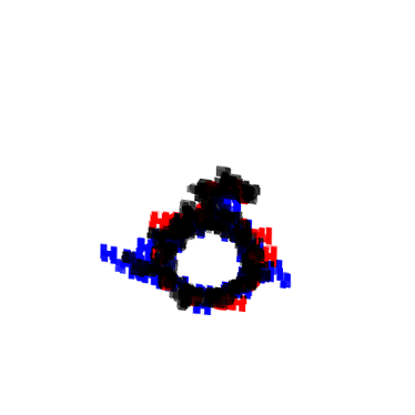 CC[C@H](C)[C@@H]1NC(=O)[C@@H](CCCNC(=N)N)NC(=O)[C@H](CC(C)C)NC(=O)[C@H]([C@H](O)C(C)C)NC(=O)[C@@H](NC(=O)[C@H](CC(C)(C)C)NC(=O)[C@@H](CC(C)(C)C)NC(=O)OC(C)(C)C)[C@@H](C(C)C)NC(=O)C(CO)NC(=O)[C@H]([C@H](O)C(N)=O)NC(=O)CNC(=O)[C@H]([C@H](C)O)NC1=O